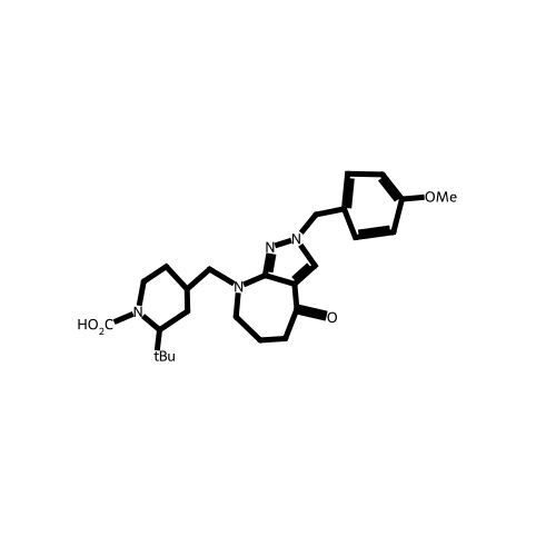 COc1ccc(Cn2cc3c(n2)N(CC2CCN(C(=O)O)C(C(C)(C)C)C2)CCCC3=O)cc1